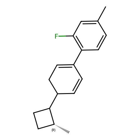 Cc1ccc(C2=CCC(C3CC[C@H]3C)C=C2)c(F)c1